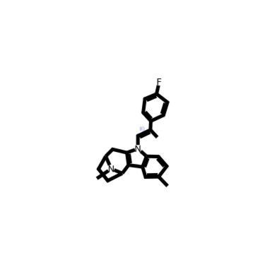 C/C(=C\n1c2c(c3cc(C)ccc31)C1CCC(C2)N1C)c1ccc(F)cc1